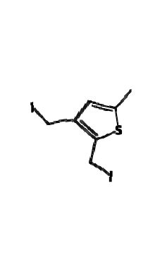 Cc1cc(CI)c(CI)s1